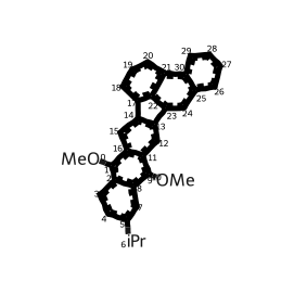 COc1c2ccc(C(C)C)cc2c(OC)c2cc3c(cc12)-c1cccc2c1c-3cc1ccccc12